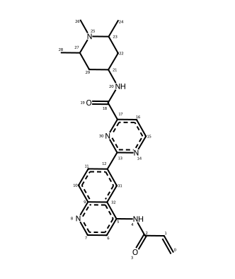 C=CC(=O)Nc1ccnc2ccc(-c3nccc(C(=O)NC4CC(C)N(C)C(C)C4)n3)cc12